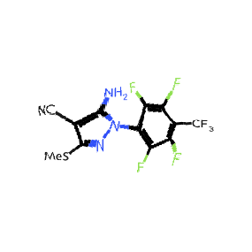 CSc1nn(-c2c(F)c(F)c(C(F)(F)F)c(F)c2F)c(N)c1C#N